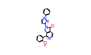 COc1ccccc1-c1nccc2c1CN(c1ccn(-c3ccccc3)n1)C2=O